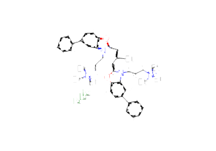 CCC(=Cc1oc2ccc(-c3ccccc3)cc2[n+]1CCC[N+](CC)(CC)CC)C=C1Oc2ccc(-c3ccccc3)cc2N1CCC[N+](CC)(CC)CC.[Br-].[Br-].[Br-]